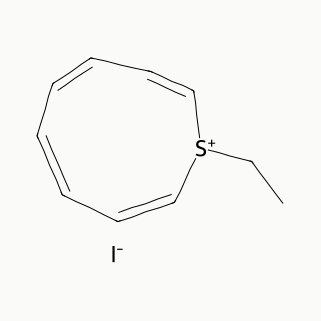 CC[s+]1cccccccc1.[I-]